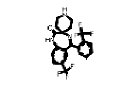 O=C1Nc2ccc(C(F)(F)F)cc2C(c2ccccc2C(F)(F)F)=NC12CCNCC2